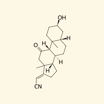 CC12CC(=O)[C@H]3[C@@H](CC[C@H]4C[C@H](O)CCC43C)[C@@H]1CC/C2=C\C#N